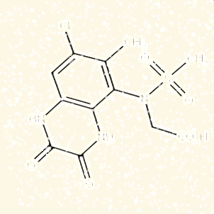 Cc1c(Cl)cc2[nH]c(=O)c(=O)[nH]c2c1N(CC(=O)O)S(C)(=O)=O